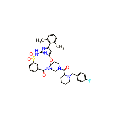 Cc1cccc(C)c1-c1cc2nc(n1)NS(=O)(=O)c1cccc(c1)C(=O)NC1(CCN(C(=O)C3CCCCN3Cc3ccc(F)cc3)CC1)O2